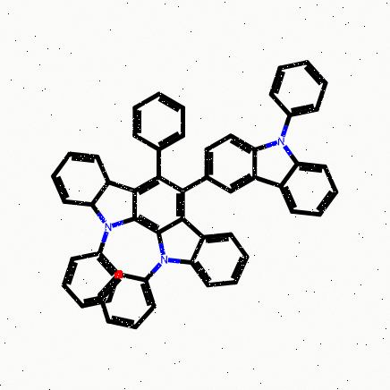 C1=CC2c3c(-c4ccccc4)c(-c4ccc5c(c4)c4ccccc4n5-c4ccccc4)c4c5ccccc5n(-c5ccccc5)c4c3N(c3ccccc3)C2C=C1